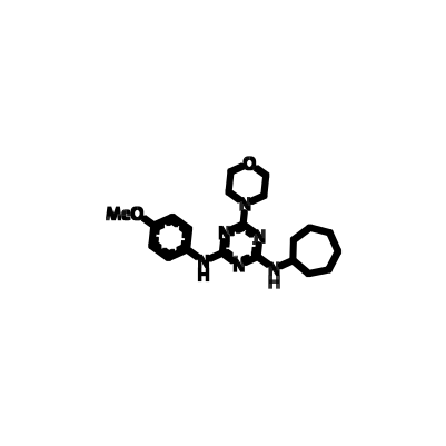 COc1ccc(Nc2nc(NC3CCCCCC3)nc(N3CCOCC3)n2)cc1